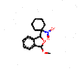 COC1OC(C2([N+](=O)[O-])CCCCC2)c2ccccc21